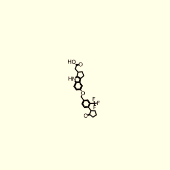 O=C(O)CC1CCc2c1[nH]c1ccc(OCc3ccc(C4CCCC4=O)c(C(F)(F)F)c3)cc21